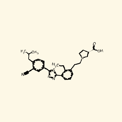 CCc1c(CCN2CC[C@H](C(=O)O)C2)cccc1-c1nnc(-c2ccc(CC(C)C)c(C#N)c2)s1